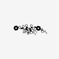 COc1ccc(COC(=O)[C@@H]2N3C(=O)[C@@H](NC(=O)COc4ccccc4)[C@H]3[S+]([O-])C2(C)C)cc1